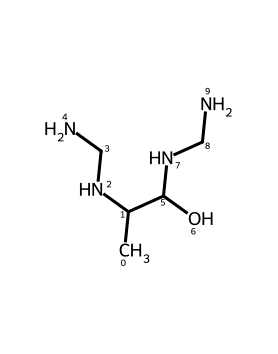 CC(NCN)C(O)NCN